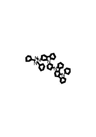 c1ccc(-c2nc(-c3ccccc3)n(-c3ccc4c5ccccc5n(-c5cccc(-n6c7ccccc7c7c6ccc6c8ccccc8n(-c8ccccc8)c67)c5)c4c3)n2)cc1